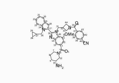 COc1cc(C(=O)N2CCC[C@@H](N)C2)cc2nc(-c3cc4ccccc4n3CC3CC3)n(CC3CN(C(=O)c4ccc(C#N)cc4)C3)c12